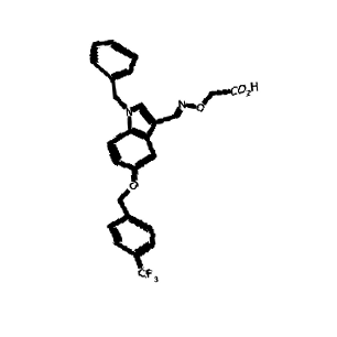 O=C(O)CO/N=C/c1cn(Cc2ccccc2)c2ccc(OCc3ccc(C(F)(F)F)cc3)cc12